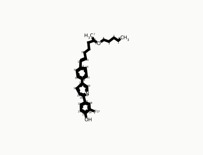 CCCCCOC(C)CCCC=Cc1ccc(-c2ccc(-c3ccc(O)c(F)c3)nc2)cc1